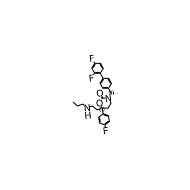 CCCNCC[C@]1(c2ccc(F)cc2)CCN([C@@H](C)c2ccc(-c3ccc(F)cc3F)cc2)C(=O)O1